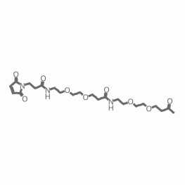 CC(=O)CCOCCOCCNC(=O)CCOCCOCCNC(=O)CCN1C(=O)C=CC1=O